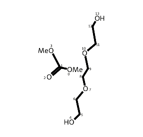 COC(=O)OC.OCCOCCOCCO